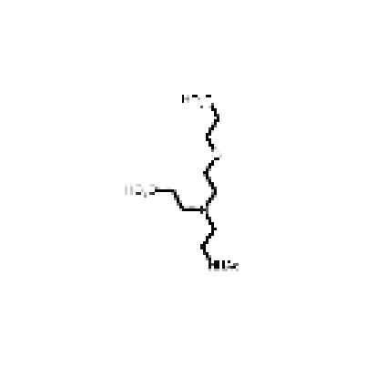 CC(=O)NCCN(CCOCCC(=O)O)CCC(=O)O